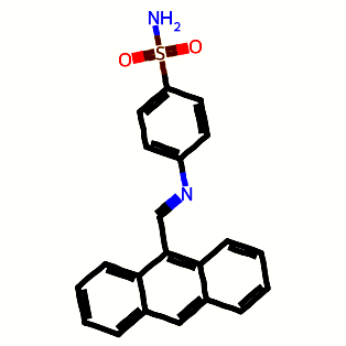 NS(=O)(=O)c1ccc(/N=C/c2c3ccccc3cc3ccccc23)cc1